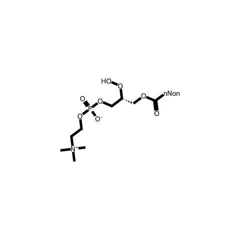 CCCCCCCCCC(=O)OC[C@H](COP(=O)([O-])OCC[N+](C)(C)C)OO